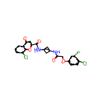 O=C(COc1ccc(Cl)c(F)c1)NC12CC(NC(=O)c3cc(=O)c4cccc(Cl)c4o3)(C1)C2